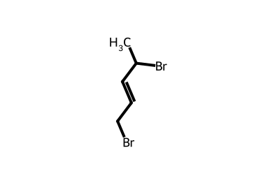 CC(Br)C=CCBr